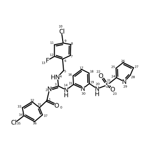 O=C(/N=C(/NCc1ccc(Cl)cc1F)Nc1cccc(NS(=O)(=O)c2ccccn2)n1)c1ccc(Cl)cc1